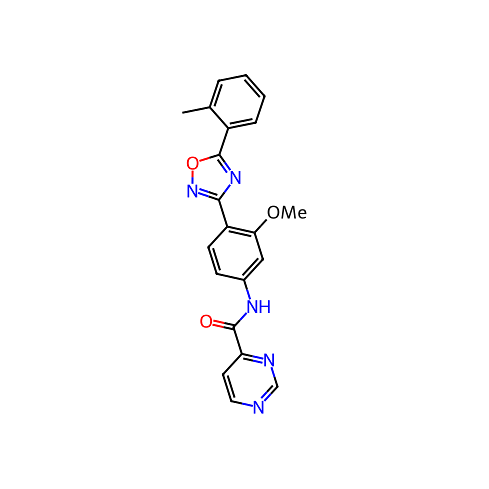 COc1cc(NC(=O)c2ccncn2)ccc1-c1noc(-c2ccccc2C)n1